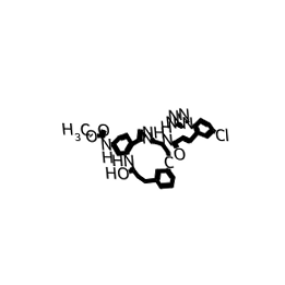 COC(=O)Nc1ccc2c(c1)NC(O)CCc1cccc(c1)CC[C@H](NC(=O)/C=C/c1cc(Cl)ccc1-n1cnnn1)c1nc-2c[nH]1